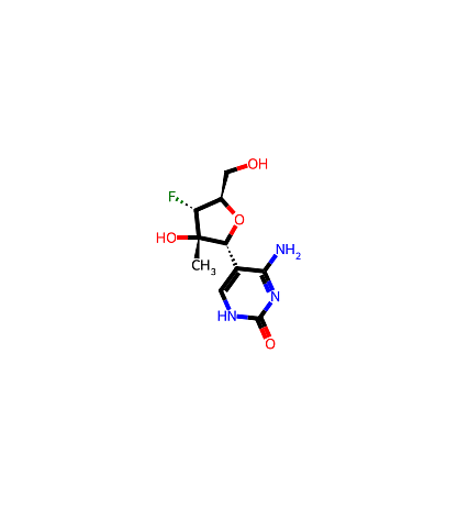 C[C@]1(O)[C@@H](c2c[nH]c(=O)nc2N)O[C@H](CO)[C@H]1F